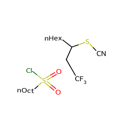 CCCCCCC(CC(F)(F)F)SC#N.CCCCCCCCS(=O)(=O)Cl